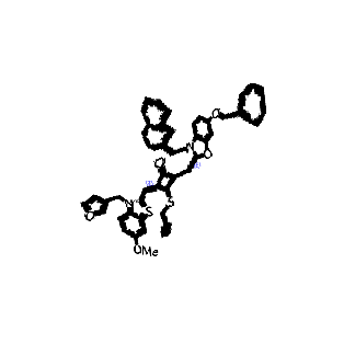 C#CCSC1=C(/C=C2/Oc3cc(OCc4ccccc4)ccc3N2Cc2ccc3ccccc3c2)C(=O)/C1=C/c1sc2cc(OC)ccc2[n+]1Cc1ccoc1